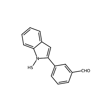 O=Cc1cccc(-c2cc3ccccc3n2S)c1